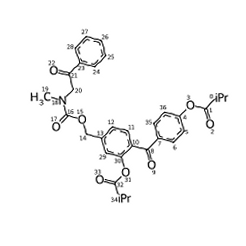 CC(C)C(=O)Oc1ccc(C(=O)c2ccc(COC(=O)N(C)CC(=O)c3ccccc3)cc2OC(=O)C(C)C)cc1